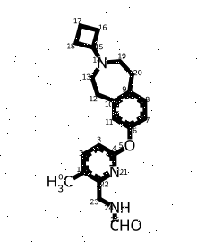 Cc1ccc(Oc2ccc3c(c2)CCN(C2CCC2)CC3)nc1CNC=O